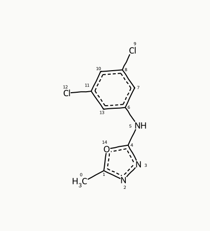 Cc1nnc(Nc2cc(Cl)cc(Cl)c2)o1